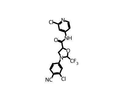 N#Cc1ccc(N2CC(C(=O)Nc3ccnc(Cl)c3)OC2C(F)(F)F)cc1Cl